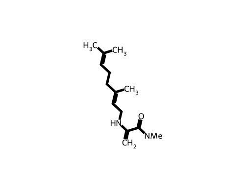 C=C(NC/C=C(\C)CCC=C(C)C)C(=O)NC